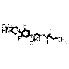 CCCC(=O)NC[C@H]1CN(c2cc(F)c(N3CC4NC(=O)OC4C3)c(F)c2)C(=O)O1